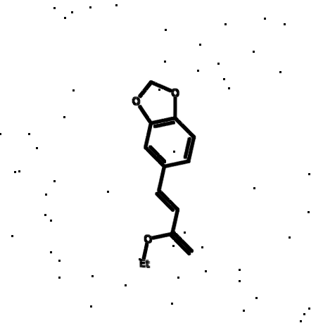 C=C(/C=C/c1ccc2c(c1)OCO2)OCC